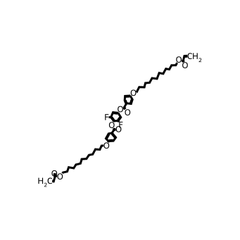 C=CC(=O)OCCCCCCCCCCCCCOc1ccc(C(=O)Oc2cc(F)c(OC(=O)c3ccc(OCCCCCCCCCCCCCOC(=O)C=C)cc3)c(F)c2)cc1